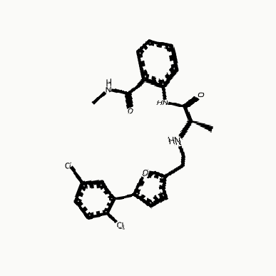 CNC(=O)c1ccccc1NC(=O)[C@@H](C)NCc1ccc(-c2cc(Cl)ccc2Cl)o1